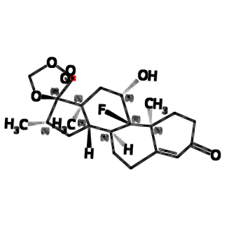 C[C@H]1C[C@H]2[C@@H]3CCC4=CC(=O)CC[C@]4(C)[C@@]3(F)[C@@H](O)C[C@]2(C)[C@]12OCOC21COCO1